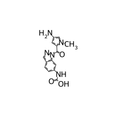 Cn1cc(N)cc1C(=O)n1ncc2ccc(NC(=O)O)cc21